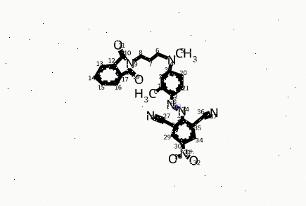 Cc1cc(N(C)CCCN2C(=O)c3ccccc3C2=O)ccc1/N=N/c1c(C#N)cc([N+](=O)[O-])cc1C#N